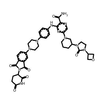 NC(=O)c1ncc(N2CCCC(N3CCN(C4COC4)C3=O)C2)nc1Nc1ccc(N2CCN(c3ccc4c(c3)C(=O)N(C3CCC(=O)NC3=O)C4=O)CC2)cc1